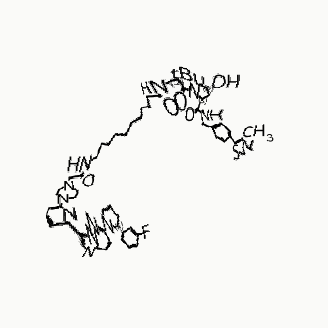 Cc1ncsc1-c1ccc(CNC(=O)[C@@H]2C[C@@H](O)CN2C(=O)[C@@H](NC(=O)CCCCCCCCCCNC(=O)CN2CCN(c3cccc(-c4cnc5ccc(N6CCC[C@@H]6c6cccc(F)c6)nn45)n3)CC2)C(C)(C)C)cc1